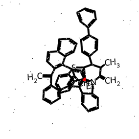 C=C1c2ccccc2-c2c(C)c(cc3c2c2ccccc2n3C(=C)C(C)C(c2ccc(-c3ccccc3)cc2)c2sc3ccccc3c2CC)-c2c1ccc1ccccc21